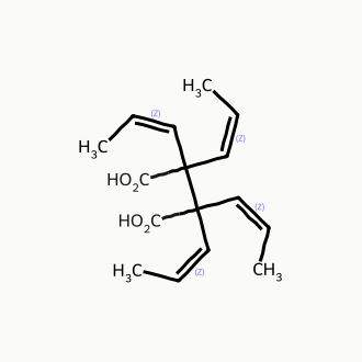 C/C=C\C(/C=C\C)(C(=O)O)C(/C=C\C)(/C=C\C)C(=O)O